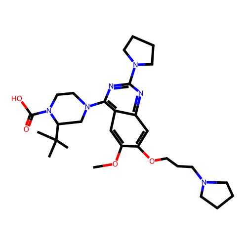 COc1cc2c(N3CCN(C(=O)O)C(C(C)(C)C)C3)nc(N3CCCC3)nc2cc1OCCCN1CCCC1